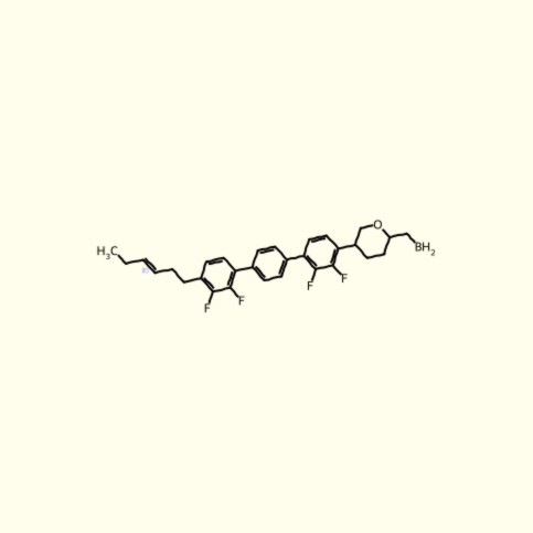 BCC1CCC(c2ccc(-c3ccc(-c4ccc(CC/C=C/CC)c(F)c4F)cc3)c(F)c2F)CO1